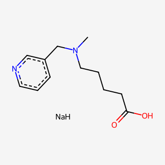 CN(CCCCC(=O)O)Cc1cccnc1.[NaH]